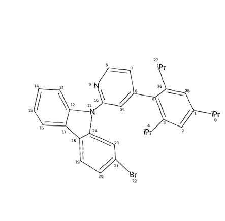 CC(C)c1cc(C(C)C)c(-c2ccnc(-n3c4ccccc4c4ccc(Br)cc43)c2)c(C(C)C)c1